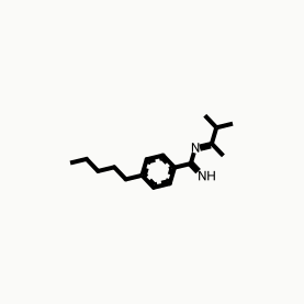 CCCCCc1ccc(C(=N)/N=C(\C)C(C)C)cc1